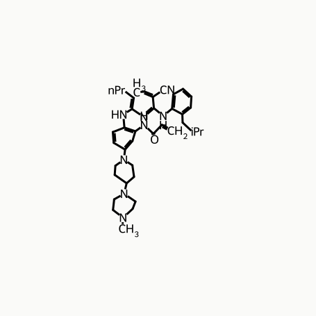 C=CC(=O)Nc1cc(N2CCC(N3CCN(C)CC3)CC2)ccc1NC(=C\CCC)/N=C(Nc1ccccc1CC(C)C)\C(C#N)=C/C